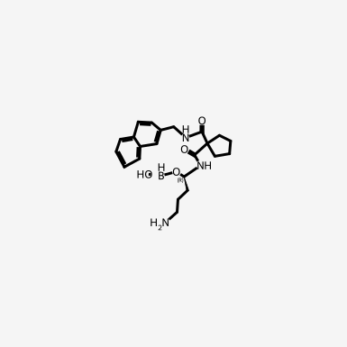 NCCC[C@H](NC(=O)C1(C(=O)NCc2ccc3ccccc3c2)CCCC1)OBO